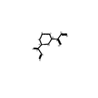 C=CC(=C)C1CCCC(C(=C)C=C)C1